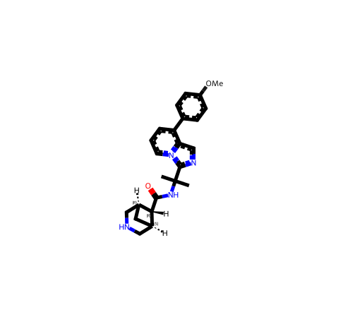 COc1ccc(-c2cccn3c(C(C)(C)NC(=O)[C@H]4[C@@H]5CNC[C@H]4C5)ncc23)cc1